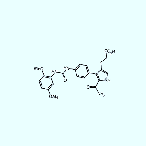 COc1ccc(OC)c(NC(=O)Nc2ccc(-c3c(CCC(=O)O)c[nH]c3C(N)=O)cc2)c1